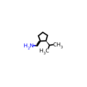 CC(C)[C@@H]1CCC/C1=C\N